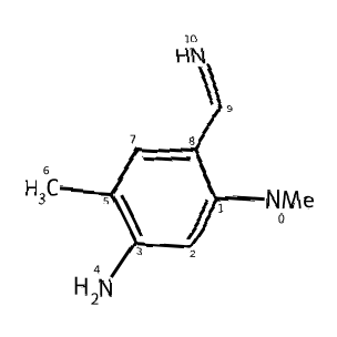 CNc1cc(N)c(C)cc1C=N